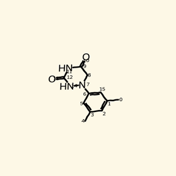 Cc1cc(C)cc(N2CC(=O)NC(=O)N2)c1